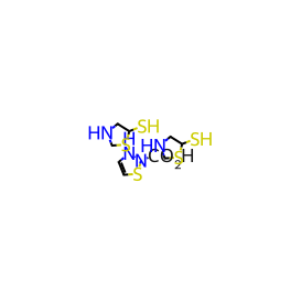 O=C(O)N1NC=CS1.SC1CNCS1.SC1CNCS1